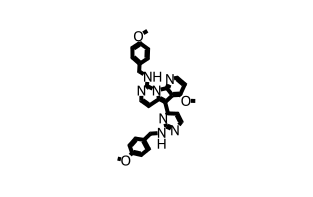 COc1ccc(CNc2nccc(-c3c4c(OC)ccnc4n4c(NCc5ccc(OC)cc5)nccc34)n2)cc1